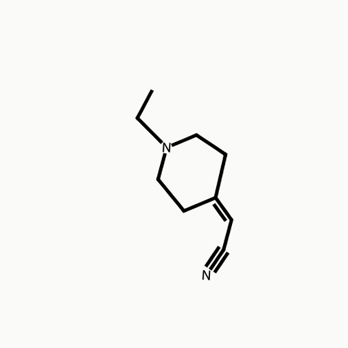 CCN1CCC(=CC#N)CC1